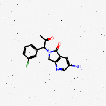 CC(=O)C(c1cccc(F)c1)N1Cc2ncc(N)cc2C1=O